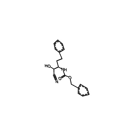 N#CC(O)C(CCc1ccccc1)NC(=O)OCc1ccccc1